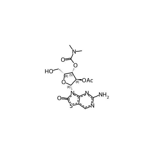 CC(=O)O[C@@H]1[C@@H](OC(=O)N(C)C)[C@@H](CO)O[C@H]1n1c(=O)sc2cnc(N)nc21